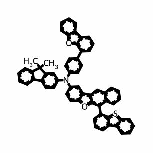 CC1(C)c2ccccc2-c2ccc(N(c3ccc(-c4cccc5c4oc4ccccc45)cc3)c3ccc4oc5c(-c6cccc7c6sc6ccccc67)c6ccccc6cc5c4c3)cc21